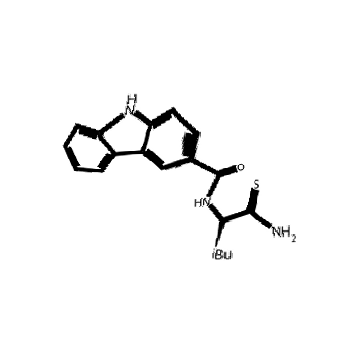 CC[C@H](C)C(NC(=O)c1ccc2[nH]c3ccccc3c2c1)C(N)=S